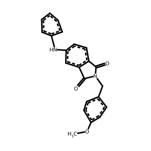 COc1ccc(CN2C(=O)c3ccc(Nc4ccccc4)cc3C2=O)cc1